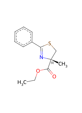 CCOC(=O)[C@@]1(C)CSC(c2ccccc2)=N1